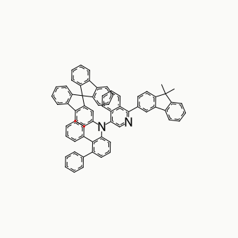 CC1(C)c2ccccc2-c2cc(-c3ncc(N(c4ccc5c(c4)C4(c6ccccc6-c6ccccc64)c4ccccc4-5)c4cccc(-c5ccccc5)c4-c4ccccc4)c4ccccc34)ccc21